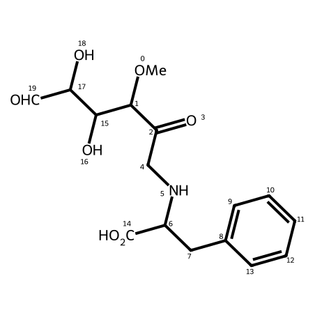 COC(C(=O)CNC(Cc1ccccc1)C(=O)O)C(O)C(O)C=O